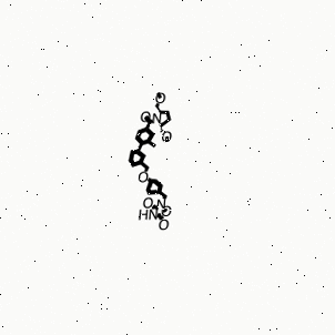 COC[C@H]1CC[C@H](COC)N1C(=O)c1ccc(-c2cccc(COc3ccc(Cn4oc(=O)[nH]c4=O)cc3)c2)c(C)c1